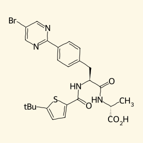 C[C@@H](NC(=O)[C@H](Cc1ccc(-c2ncc(Br)cn2)cc1)NC(=O)c1ccc(C(C)(C)C)s1)C(=O)O